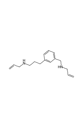 C=CCNCCCc1cccc(CNCC=C)c1